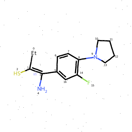 CC/C(S)=C(/N)c1ccc(N2CCCC2)c(F)c1